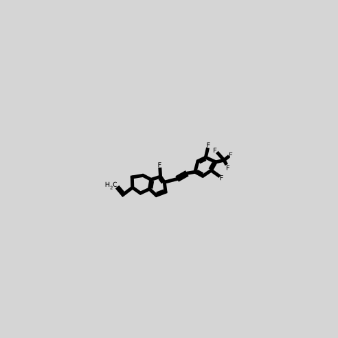 C=CC1CCc2c(ccc(C#Cc3cc(F)c(C(F)(F)F)c(F)c3)c2F)C1